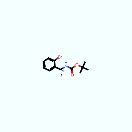 C[C@@H](NC(=O)OC(C)(C)C)c1ccccc1Br